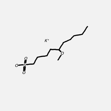 CCCCCC(CCCCS(=O)(=O)[O-])OC.[K+]